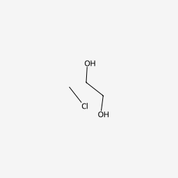 CCl.OCCO